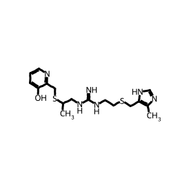 Cc1nc[nH]c1CSCCNC(=N)NCC(C)SCc1ncccc1O